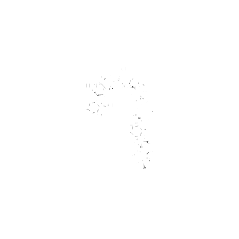 COCC12CNC(N)=C(/C=C(\N)c3cccc(F)c3O)N1CCN(C(=O)N1CCN(CC3CCN(c4ccc5c(c4)C(=O)N(C4CCC(=O)NC4=O)C5)CC3)CC1(C)C)C2